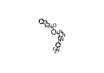 O=C(NCc1cc2ccccc2s1)C1CCCN(c2ncnc3nn(-c4ccc(C(F)(F)F)cc4)cc23)C1